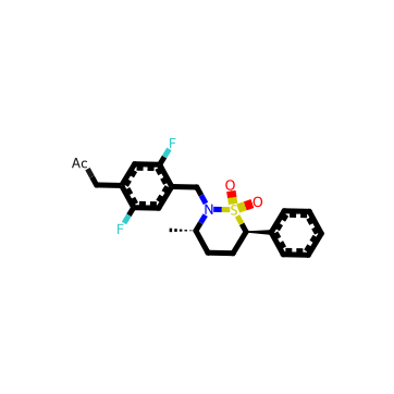 CC(=O)Cc1cc(F)c(CN2[C@@H](C)CC[C@H](c3ccccc3)S2(=O)=O)cc1F